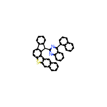 c1ccc2c(c1)-c1ccc3sc4cc5ccccc5cc4c3c1C2c1nc(-c2cccc3ccccc23)c2ccccc2n1